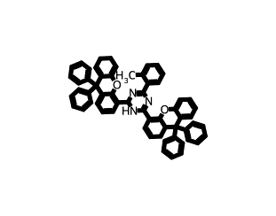 Cc1ccccc1C1=NC(c2cccc3c2OC2=CCCC=C2C3(c2ccccc2)c2ccccc2)NC(C2=C3Oc4ccccc4C(c4ccccc4)(c4ccccc4)C3CC=C2)=N1